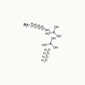 O.O.O.O.O.O.O.O.O.O.OB(O)O.OB(O)O.[Na]